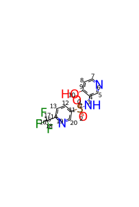 O=S(=O)(Nc1cnccc1O)c1ccc(C(F)(F)F)nc1